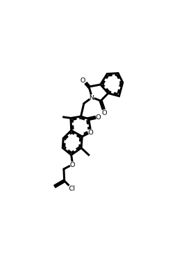 C=C(Cl)COc1ccc2c(C)c(CN3C(=O)c4ccccc4C3=O)c(=O)oc2c1C